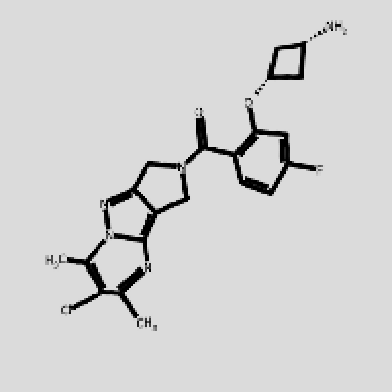 Cc1nc2c3c(nn2c(C)c1Cl)CN(C(=O)c1ccc(F)cc1O[C@H]1C[C@@H](N)C1)C3